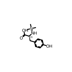 C[Si](C)(C)N[C@@H](Cc1ccc(O)cc1)C(=O)O